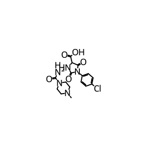 CN1CCN(C(N)=O)CC1.O=C(O)C1NC(=O)N(c2ccc(Cl)cc2)C1=O